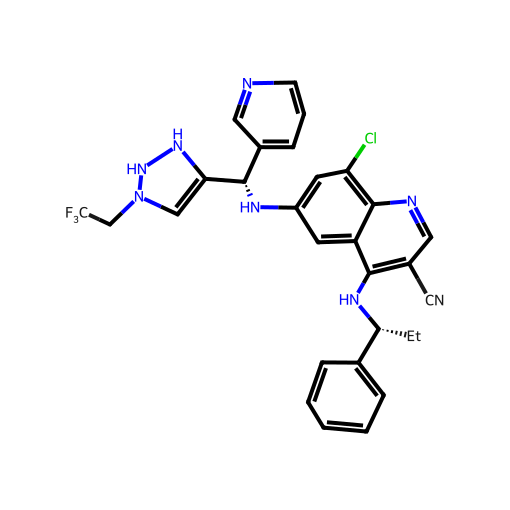 CC[C@@H](Nc1c(C#N)cnc2c(Cl)cc(N[C@H](C3=CN(CC(F)(F)F)NN3)c3cccnc3)cc12)c1ccccc1